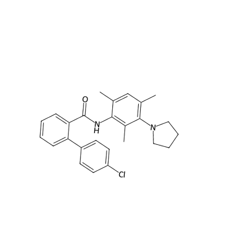 Cc1cc(C)c(N2CCCC2)c(C)c1NC(=O)c1ccccc1-c1ccc(Cl)cc1